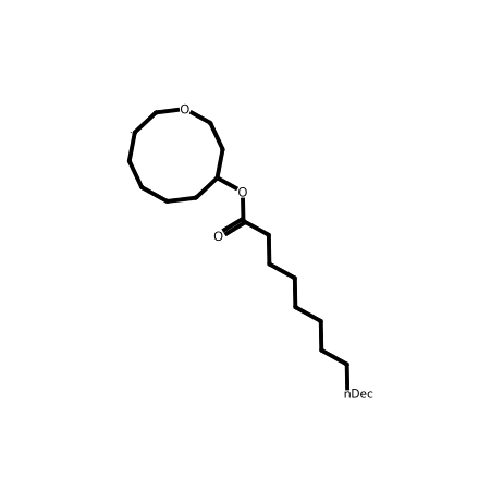 [CH2]CCCCCCCCCCCCCCCCC(=O)OC1CCCC[CH]COCC1